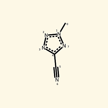 Cn1nnc(C#N)n1